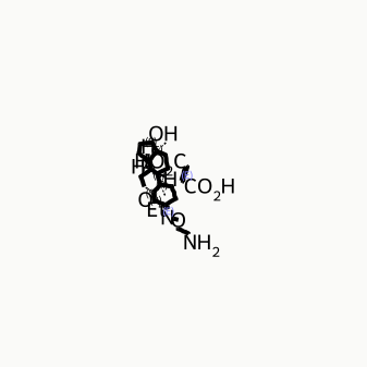 CC[C@]12O[C@]13CC[C@H]1[C@@H]4CC[C@H](O)[C@@]4(C)CC[C@@H]1[C@@]3(C)CC/C2=N\OCCN.O=C(O)/C=C/C(=O)O